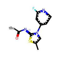 Cc1cn(-c2ccnc(F)c2)/c(=N/C(=O)C(C)(C)C)s1